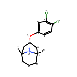 Clc1ccc(O[C@H]2C[C@H]3CCC[C@@H](C2)N3)cc1Cl